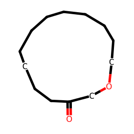 O=C1CCCCCCCCCCCOC1